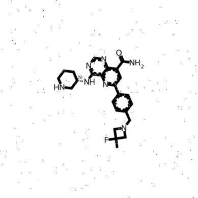 CC1(F)CN(Cc2ccc(-c3cc(C(N)=O)c4ncnc(N[C@H]5CCCNC5)c4n3)cc2)C1